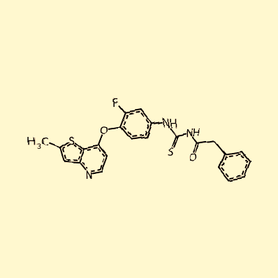 Cc1cc2nccc(Oc3ccc(NC(=S)NC(=O)Cc4ccccc4)cc3F)c2s1